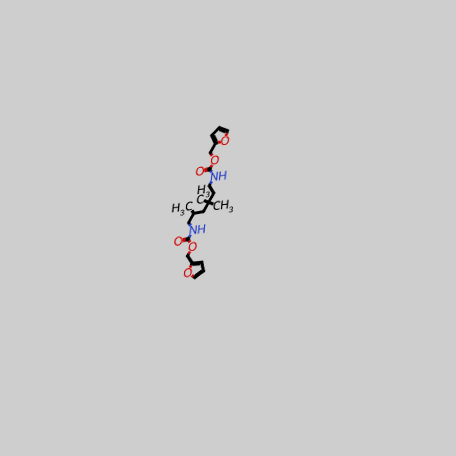 CC(CNC(=O)OCc1ccco1)CC(C)(C)CCNC(=O)OCc1ccco1